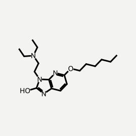 CCCCCCOc1ccc2nc(O)n(CCN(CC)CC)c2n1